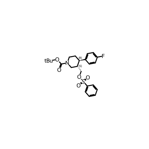 CC(C)(C)OC(=O)N1CC[C@@H](c2ccc(F)cc2)[C@H](COS(=O)(=O)c2ccccc2)C1